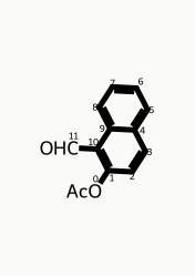 CC(=O)Oc1ccc2ccccc2c1C=O